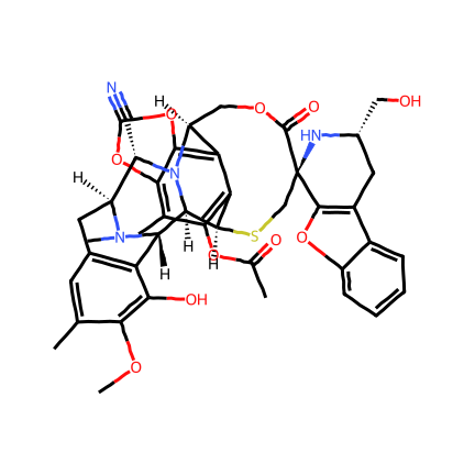 COc1c(C)cc2c(c1O)[C@H]1[C@@H]3[C@@H]4SC[C@]5(N[C@H](CO)Cc6c5oc5ccccc65)C(=O)OC[C@@H](c5c6c(c(C)c(OC(C)=O)c54)OCO6)N3[C@@H](C#N)[C@H](C2)N1C